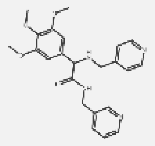 COc1cc(C(NCc2ccncc2)C(=O)NCc2cccnc2)cc(OC)c1OC